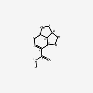 COC(=O)C1=CCC2OCC3CCC1C32